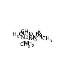 CC[C@@H](N)c1nc(N(C)C)cc2c1CN(c1cccc(-c3nncn3CC)n1)C2=O